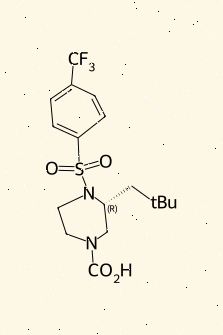 CC(C)(C)C[C@@H]1CN(C(=O)O)CCN1S(=O)(=O)c1ccc(C(F)(F)F)cc1